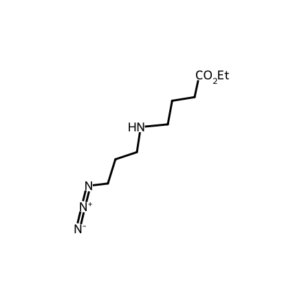 CCOC(=O)CCCNCCCN=[N+]=[N-]